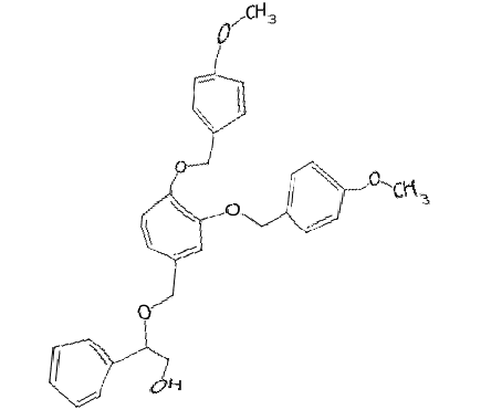 COc1ccc(COc2ccc(COC(CO)c3ccccc3)cc2OCc2ccc(OC)cc2)cc1